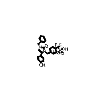 N#Cc1ccc(-c2cn(Cc3ccccc3)c(=O)n2Cc2ccc(C(F)(F)P(=O)(O)O)cc2)cc1